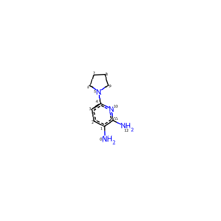 Nc1ccc(N2CCCC2)nc1N